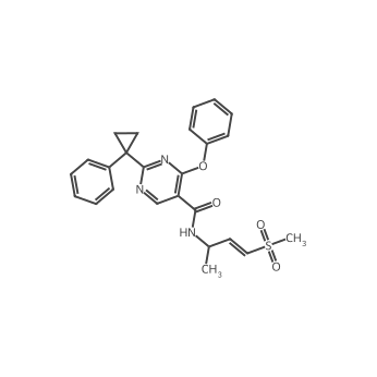 CC(/C=C/S(C)(=O)=O)NC(=O)c1cnc(C2(c3ccccc3)CC2)nc1Oc1ccccc1